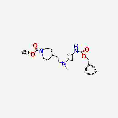 CN(CCC1CCN(C(=O)OC(C)(C)C)CC1)C1CC(NC(=O)OCc2ccccc2)C1